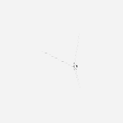 CCCCCCCCCCCCCCCCCCCC1N(CCCCCCCCCCCC)C=CN1CCCCCCCCCCCCCCCCC